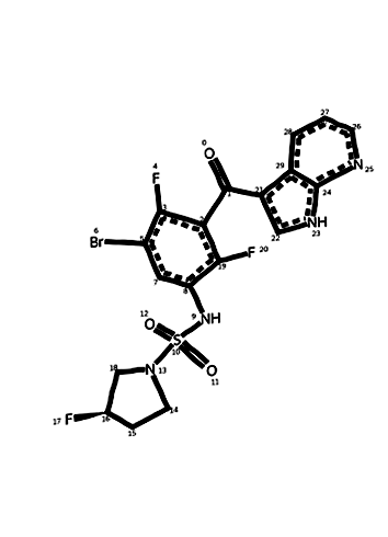 O=C(c1c(F)c(Br)cc(NS(=O)(=O)N2CC[C@@H](F)C2)c1F)c1c[nH]c2ncccc12